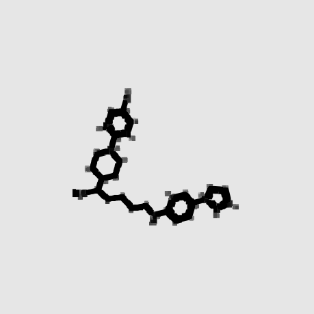 CC(CCCCNc1ccc(-n2ccnn2)cn1)C1CCN(c2ncc(Cl)cn2)CC1